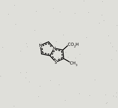 Cc1sc2cncn2c1C(=O)O